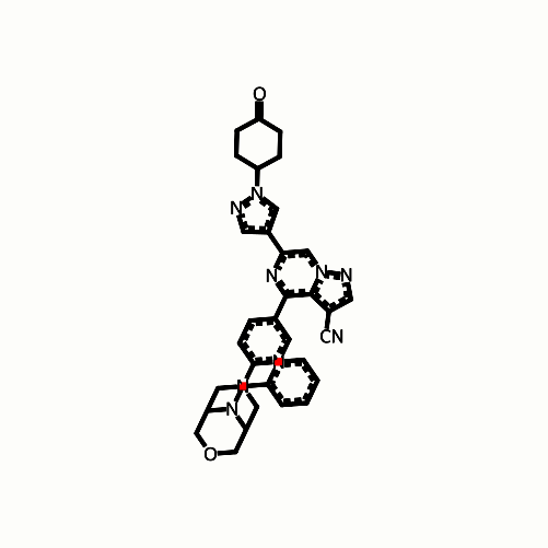 N#Cc1cnn2cc(-c3cnn(C4CCC(=O)CC4)c3)nc(-c3ccc(N4CC5COCC(C4)N5Cc4ccccn4)nc3)c12